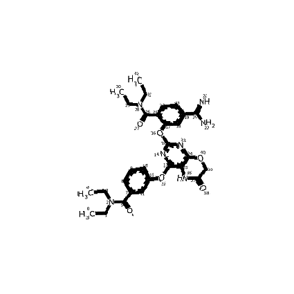 CCN(CC)C(=O)c1cccc(Oc2nc(Oc3cc(C(=N)N)ccc3C(=O)N(CC)CC)nc3c2NC(=O)CO3)c1